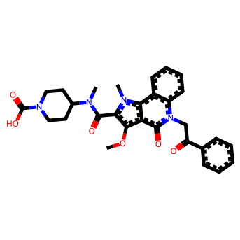 COc1c(C(=O)N(C)C2CCN(C(=O)O)CC2)n(C)c2c1c(=O)n(CC(=O)c1ccccc1)c1ccccc21